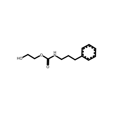 O=C(NCCCc1ccccc1)OCCO